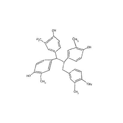 Cc1cc(CC(c2ccc(O)c(C)c2)C(c2ccc(O)c(C)c2)c2ccc(O)c(C)c2)ccc1O